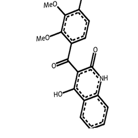 COc1ccc(C(=O)c2c(O)c3ccccc3[nH]c2=O)c(OC)c1OC